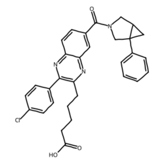 O=C(O)CCCCc1nc2cc(C(=O)N3CC4CC4(c4ccccc4)C3)ccc2nc1-c1ccc(Cl)cc1